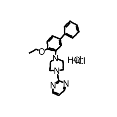 CCOc1ccc(-c2ccccc2)cc1N1CCN(c2ncccn2)CC1.Cl.Cl